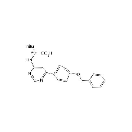 CCCC[C@@H](Nc1cc(-c2ccc(OCc3ccccc3)cc2)ncn1)C(=O)O